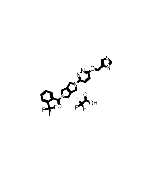 O=C(O)C(F)(F)F.O=C(c1ccccc1C(F)(F)F)N1CC2=C(C1)CN(c1ccc(OCc3cscn3)nn1)C2